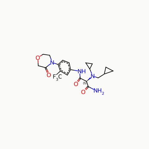 NC(=O)[C@@H](C(=O)Nc1ccc(N2CCOCC2=O)c(C(F)(F)F)c1)N(CC1CC1)C1CC1